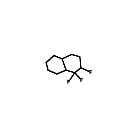 FC1CCC2CCCCC2C1(F)F